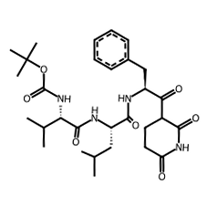 CC(C)C[C@H](NC(=O)[C@@H](NC(=O)OC(C)(C)C)C(C)C)C(=O)N[C@@H](Cc1ccccc1)C(=O)C1CCC(=O)NC1=O